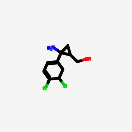 NC1(C2=CC=C(Cl)C(Cl)C2)CC1CO